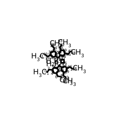 CCCc1cc(CCC)cc(C(P)(c2cc(CCC)cc(CCC)c2)[C@@H]2CC[C@H]2C(P)(c2cc(CCC)cc(CCC)c2)c2cc(CCC)cc(CCC)c2)c1